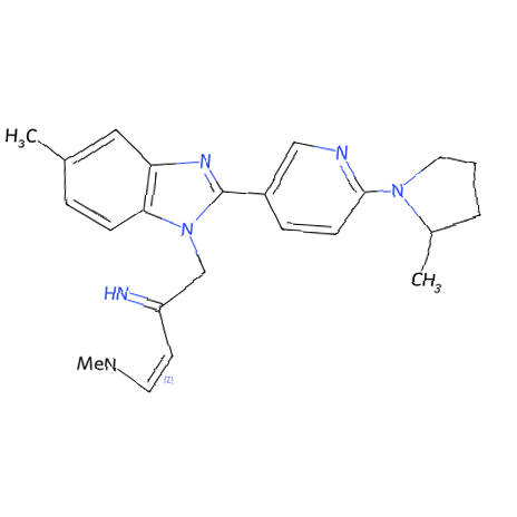 CN/C=C\C(=N)Cn1c(-c2ccc(N3CCCC3C)nc2)nc2cc(C)ccc21